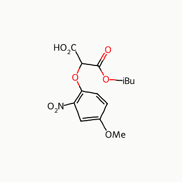 CCC(C)OC(=O)C(Oc1ccc(OC)cc1[N+](=O)[O-])C(=O)O